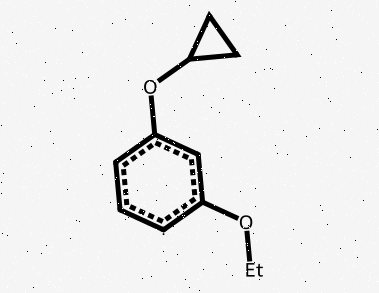 CCOc1[c]ccc(OC2CC2)c1